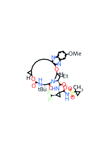 CC[C@@H]1[C@@H]2CN(C(=O)[C@H](C(C)(C)C)NC(=O)O[C@@H]3CC3CCCCCc3nc4ccc(OC)cc4nc3O2)[C@@H]1C(=O)N[C@]1(C(=O)NS(=O)(=O)C2(C)CC2)C[C@H]1C(F)F